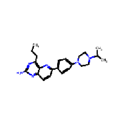 CCCc1nc(N)nc2ccc(-c3ccc(N4CCN(C(C)C)CC4)cc3)nc12